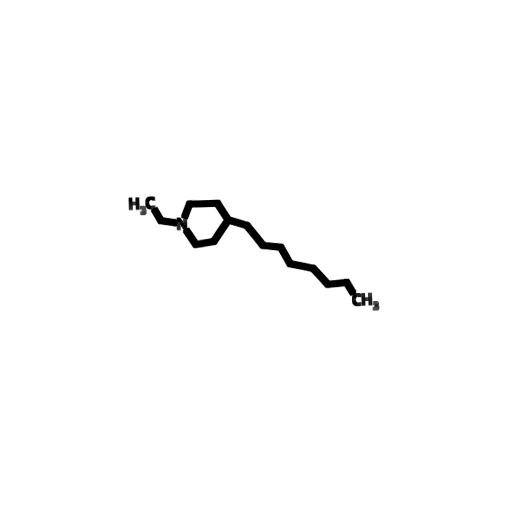 CCCCCCCCC1CCN(CC)CC1